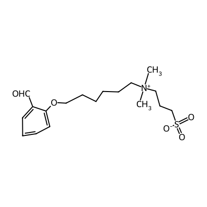 C[N+](C)(CCCCCCOc1ccccc1C=O)CCCS(=O)(=O)[O-]